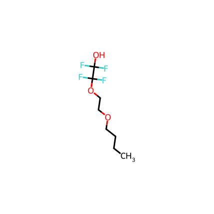 CCCCOCCOC(F)(F)C(O)(F)F